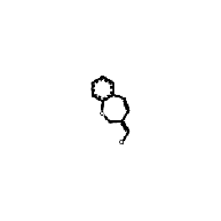 Cl/C=C1/C=Cc2ccccc2OC1